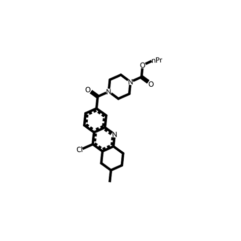 CCCOC(=O)N1CCN(C(=O)c2ccc3c(Cl)c4c(nc3c2)CCC(C)C4)CC1